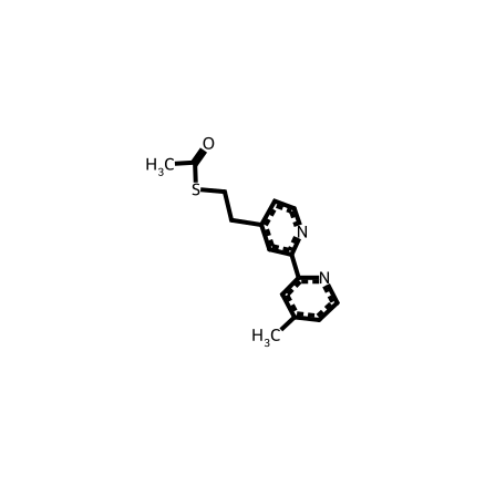 CC(=O)SCCc1ccnc(-c2cc(C)ccn2)c1